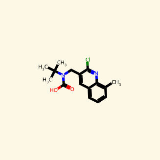 Cc1cccc2cc(CN(C(=O)O)C(C)(C)C)c(Cl)nc12